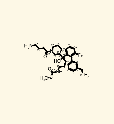 CCc1cccc(-c2c(F)cccc2[C@](O)(CCCNC(=O)OC)[C@@H]2CCCN(C(=O)CCCN)C2)c1